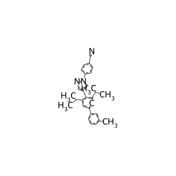 Cc1cccc(-c2cc(C(C)C)c(-c3cnn(-c4ccc(C#N)cc4)c3)c(C(C)C)c2)c1